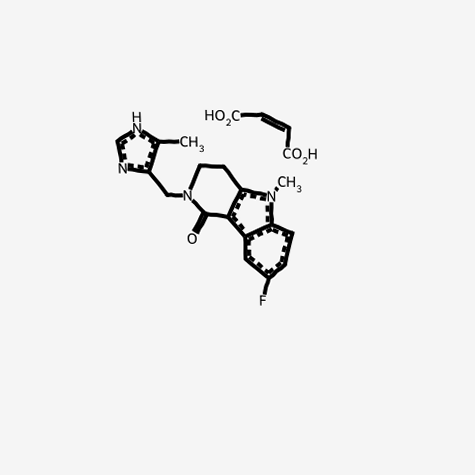 Cc1[nH]cnc1CN1CCc2c(c3cc(F)ccc3n2C)C1=O.O=C(O)/C=C\C(=O)O